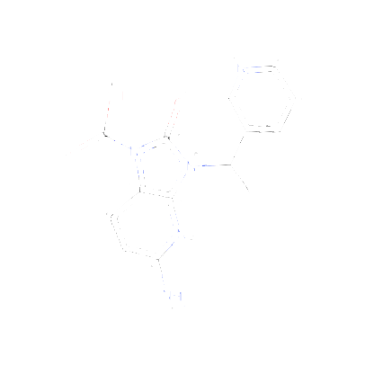 CC(c1cccnc1)n1c(=O)n(C(=O)O)c2ccc(N)nc21